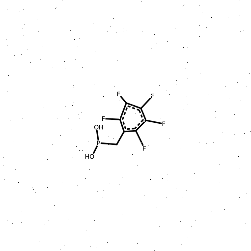 OP(O)Cc1c(F)c(F)c(F)c(F)c1F